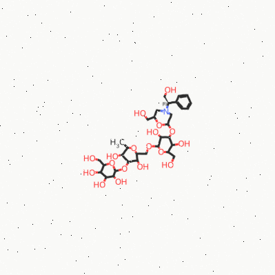 CC1OC(COC2OC(CO)C(O)C(OC3CN([C@@H](CO)c4ccccc4)CC(CO)O3)C2O)C(O)C(OC2OC(CO)C(O)C(O)C2O)C1O